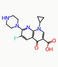 O=C(O)c1cn(C2CC2)c2nc(N3CCNCC3)c(F)cc2c1=O